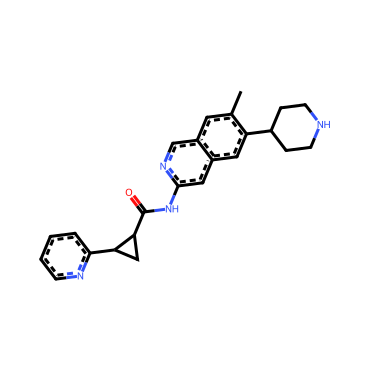 Cc1cc2cnc(NC(=O)C3CC3c3ccccn3)cc2cc1C1CCNCC1